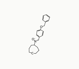 [O-][N+](=Cc1ccc(OCc2ccccc2)cc1)C1CCCCCCC1